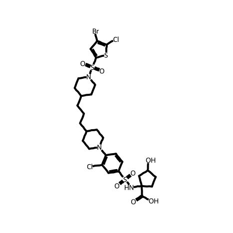 O=C(O)C1(NS(=O)(=O)c2ccc(N3CCC(CCCC4CCN(S(=O)(=O)c5cc(Br)c(Cl)s5)CC4)CC3)c(Cl)c2)CCC(O)C1